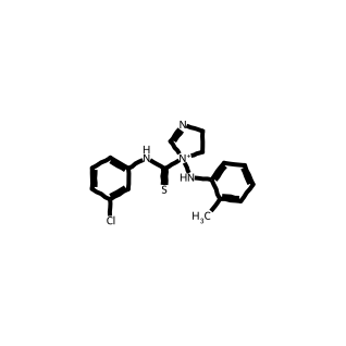 Cc1ccccc1N[N+]1(C(=S)Nc2cccc(Cl)c2)C=NCC1